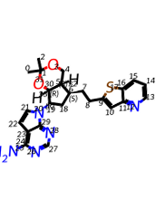 CC1(C)OC[C@@H]2[C@@H](CCc3cc4ncccc4s3)C[C@@H](n3ccc4c(N)ncnc43)[C@@H]2O1